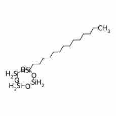 CCCCCCCCCCCCCC[SiH]1O[SiH2]O[SiH2]O[SiH2]O1